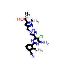 Cc1c(C#N)cccc1-c1nc(N)c(Cl)c(-c2cn(Cc3cc(C(C)O)n(C)n3)nn2)n1